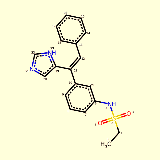 CCS(=O)(=O)Nc1cccc(C(=Cc2ccccc2)c2cnc[nH]2)c1